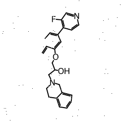 C=C/C(=C\C(=C/C)c1ccncc1F)OCC(O)CN1CCc2ccccc2C1